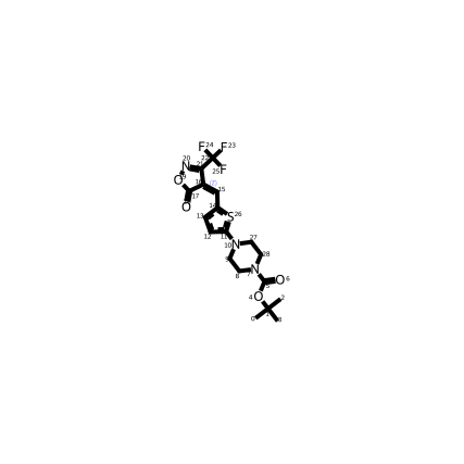 CC(C)(C)OC(=O)N1CCN(c2ccc(/C=C3\C(=O)ON=C3C(F)(F)F)s2)CC1